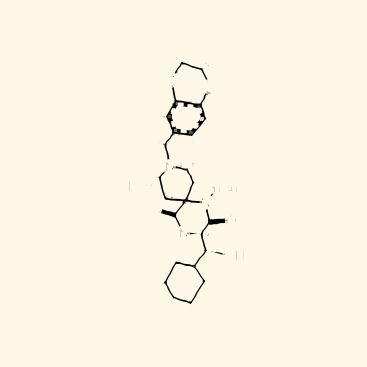 CCCCN1C(=O)[C@@H]([C@@H](O)C2CCCCC2)NC(=O)C12CCN(Cc1ccc3c(c1)OCCO3)CC2.Cl